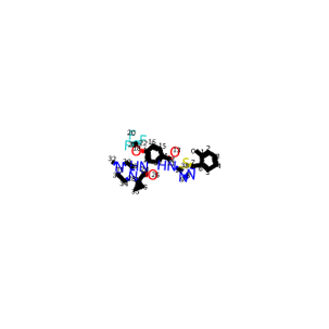 Cc1ccccc1-c1nnc(NC(=O)c2ccc(OC(F)(F)F)c(NC(=O)C3(N4CCN(C)CC4)CC3)c2)s1